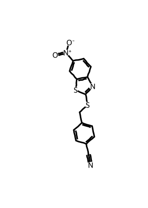 N#Cc1ccc(CSc2nc3ccc([N+](=O)[O-])cc3s2)cc1